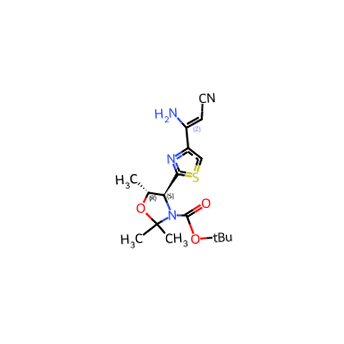 C[C@H]1OC(C)(C)N(C(=O)OC(C)(C)C)[C@@H]1c1nc(/C(N)=C/C#N)cs1